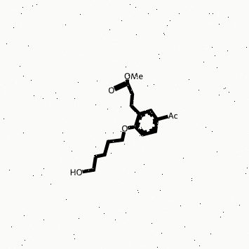 COC(=O)CCc1cc(C(C)=O)ccc1OCCCCCO